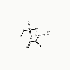 C=CC(=O)NC.CCS(=O)(=O)[O-].[K+]